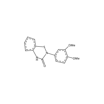 COc1ccc(N2Sc3ccccc3NC2=O)cc1OC